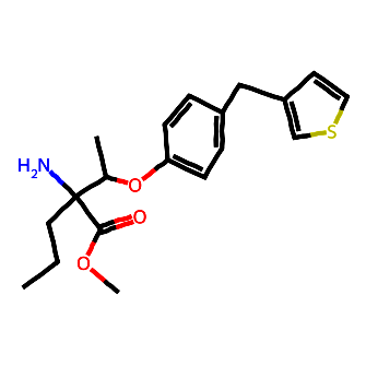 CCCC(N)(C(=O)OC)C(C)Oc1ccc(Cc2ccsc2)cc1